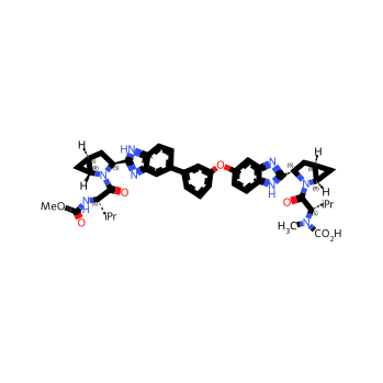 COC(=O)N[C@H](C(=O)N1[C@@H]2C[C@H]2C[C@H]1c1nc2cc(-c3cccc(Oc4ccc5[nH]c([C@@H]6C[C@H]7C[C@H]7N6C(=O)[C@H](C(C)C)N(C)C(=O)O)nc5c4)c3)ccc2[nH]1)C(C)C